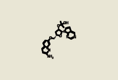 CC(C)(O)O[C@@H]1C[C@@H](COc2ccc3ccc(N)nc3c2)O[C@H]1n1ccc2cncnc21